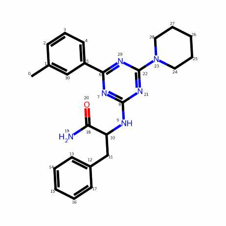 Cc1cccc(-c2nc(NC(Cc3ccccc3)C(N)=O)nc(N3CCCCC3)n2)c1